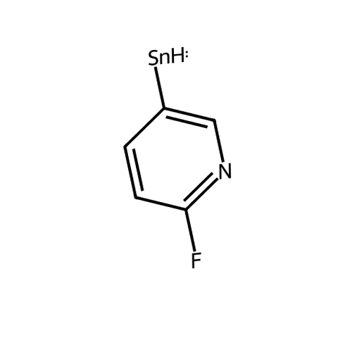 Fc1cc[c]([SnH])cn1